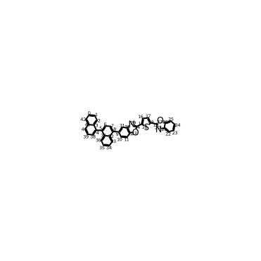 c1ccc2c(-c3ccc(-c4ccc5oc(-c6ccc(-c7nc8ccccc8o7)s6)nc5c4)c4ccccc34)cccc2c1